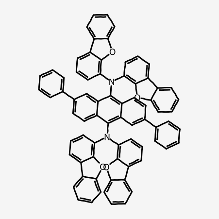 c1ccc(-c2ccc3c(N(c4cccc5c4oc4ccccc45)c4cccc5c4oc4ccccc45)c4cc(-c5ccccc5)ccc4c(N(c4cccc5c4oc4ccccc45)c4cccc5c4oc4ccccc45)c3c2)cc1